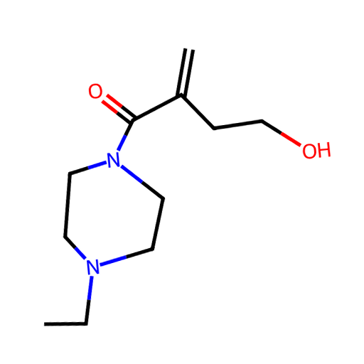 C=C(CCO)C(=O)N1CCN(CC)CC1